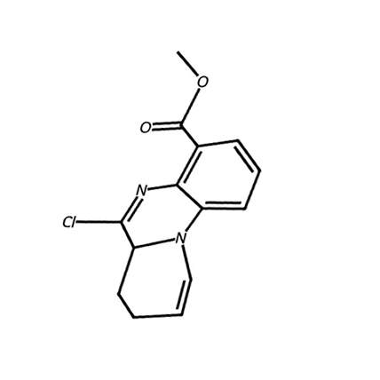 COC(=O)c1cccc2c1N=C(Cl)C1CCC=CN21